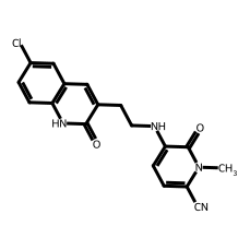 Cn1c(C#N)ccc(NCCc2cc3cc(Cl)ccc3[nH]c2=O)c1=O